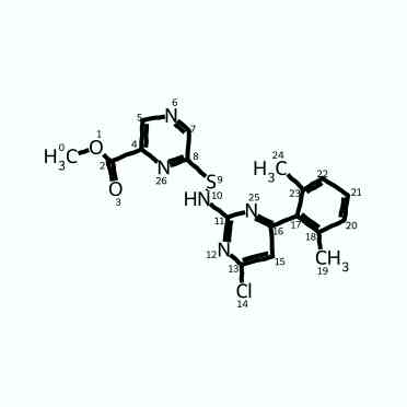 COC(=O)c1cncc(SNc2nc(Cl)cc(-c3c(C)cccc3C)n2)n1